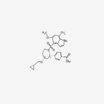 COc1cc(C)c2[nH]ccc2c1S(=O)(=O)N1CC[C@@H](OCC2CC2)C[C@H]1c1ccc(C(=O)O)cc1